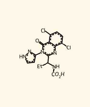 CCC(NC(=O)O)c1nc2c(Cl)ccc(Cl)c2c(=O)n1-c1cc[nH]n1